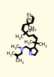 C=C(C)CN(C)CC1=NCCC1C(C)(C)/C=C\CC(C)(/C=C\C(C)(/C=C\CC)C(C)C)CCC